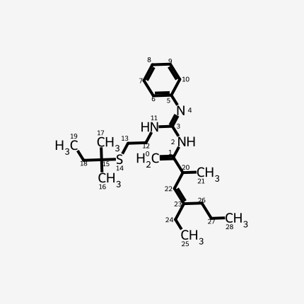 C=C(N/C(=N/c1ccccc1)NCCSC(C)(C)CC)C(C)/C=C(/CC)CCC